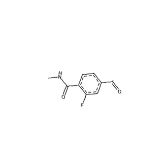 CNC(=O)c1ccc([C]=O)cc1F